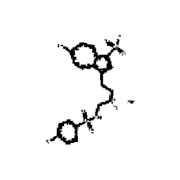 CC(C)c1ccc2c(CC[C@H](C)CNS(=O)(=O)c3ccc(Cl)cc3)cc(S(=O)(=O)[O-])c-2cc1.[Na+]